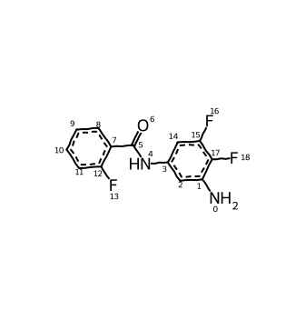 Nc1cc(NC(=O)c2ccccc2F)cc(F)c1F